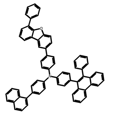 c1ccc(-c2c(-c3ccc(N(c4ccc(-c5ccc6oc7c(-c8ccccc8)cccc7c6c5)cc4)c4ccc(-c5cccc6ccccc56)cc4)cc3)c3ccccc3c3ccccc23)cc1